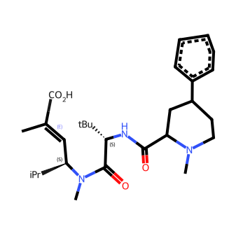 C/C(=C\[C@H](C(C)C)N(C)C(=O)[C@@H](NC(=O)C1CC(c2ccccc2)CCN1C)C(C)(C)C)C(=O)O